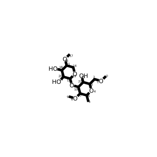 COCC1OC(C)C(OC)C(OC2OCC(OC)C(O)C2O)C1O